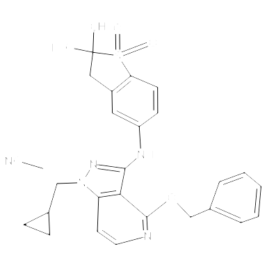 CC1(C)Cc2cc(Nc3nn([C@@H](CC#N)C4CC4)c4ccnc(OCc5ccccc5)c34)ccc2S1(=O)=O